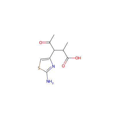 C[C](C(=O)O)C(C(C)=O)c1csc(N)n1